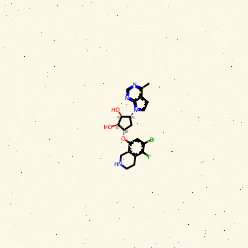 Cc1ncnc2c1ccn2[C@@H]1C[C@H](Oc2cc(Br)c(F)c3c2CNCC3)[C@@H](O)[C@H]1O